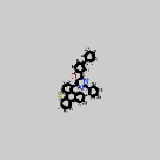 c1ccc(-c2ccc3oc4c(-c5ccc6sc7cccc8c9ccccc9c5c6c78)nc(-c5ccccc5)nc4c3c2)cc1